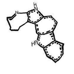 C1=Nc2[nH]c3ccc4c5ccccc5[nH]c4c3c2CC1